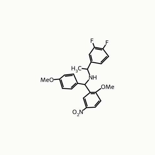 COc1ccc(C(NC(C)c2ccc(F)c(F)c2)c2cc([N+](=O)[O-])ccc2OC)cc1